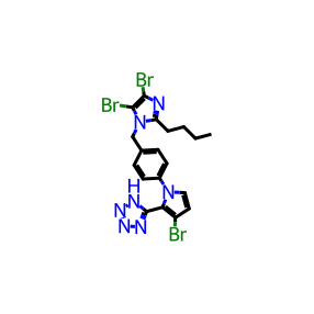 CCCCc1nc(Br)c(Br)n1Cc1ccc(-n2ccc(Br)c2-c2nnn[nH]2)cc1